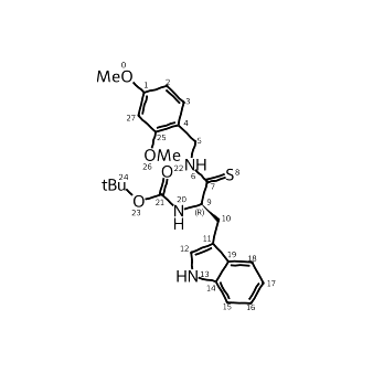 COc1ccc(CNC(=S)[C@@H](Cc2c[nH]c3ccccc23)NC(=O)OC(C)(C)C)c(OC)c1